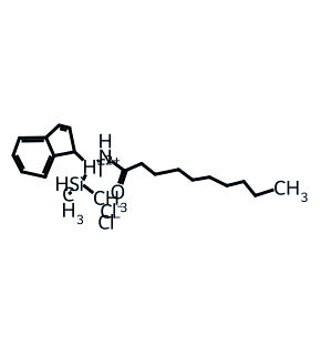 CCCCCCCCCC(=O)[NH][Hf+2]([CH]1C=Cc2ccccc21)[SiH](C)C.[Cl-].[Cl-]